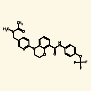 CC(=O)N(C)Cc1ccc(N2CCOc3c(C(=O)Nc4ccc(OC(F)(F)F)cc4)cccc32)nc1